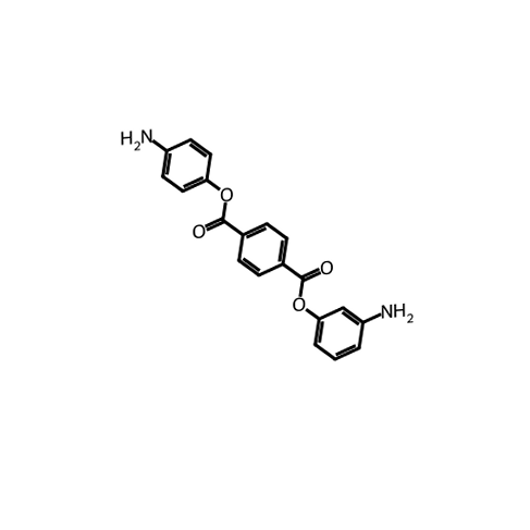 Nc1ccc(OC(=O)c2ccc(C(=O)Oc3cccc(N)c3)cc2)cc1